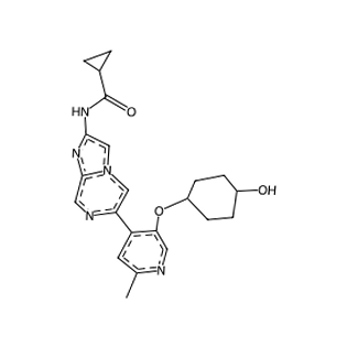 Cc1cc(-c2cn3cc(NC(=O)C4CC4)nc3cn2)c(OC2CCC(O)CC2)cn1